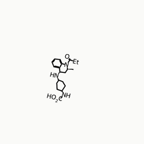 CCC(=O)N1c2ccccc2[C@H](NC2CCC(NC(=O)O)CC2)C[C@@H]1C